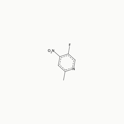 Cc1cc([N+](=O)[O-])c(F)cn1